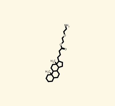 CC12CCCCC1CCC1C2CCC2(C)C(CCCC(=O)OCCOCCN)CCC12